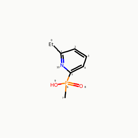 CCc1cccc(P(C)(=O)O)n1